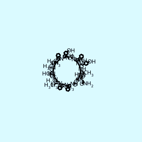 CCCC[C@H]1C(=O)N(C)CC(=O)N[C@@H](CC(=O)O)C(=O)N[C@@H](C(C)C)C(=O)N(C)[C@@H](Cc2ccccc2)C(=O)N[C@@H](Cc2ccc(O)cc2)C(=O)N(C)CC(=O)N[C@@H](Cc2c[nH]c3ccccc23)C(=O)N[C@@H](CCc2ccc(O)cc2)C(=O)N[C@@H](CC(C)C)C(=O)N[C@H](C(=O)NCC(N)=O)CSCC(=O)N[C@@H](Cc2ccccc2)C(=O)N(C)[C@@H](Cc2ccccc2)C(=O)N1C